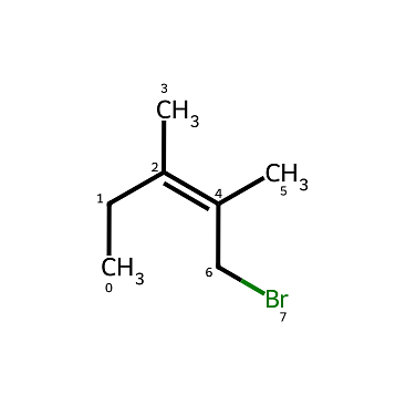 CCC(C)=C(C)CBr